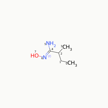 CCC(C)/C(N)=N/O